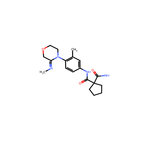 CN=C1COCCN1c1ccc(NC(=O)C2(C([NH])=O)CCCC2)cc1C